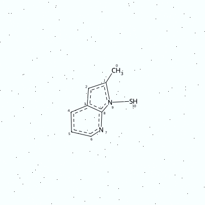 Cc1cc2cccnc2n1S